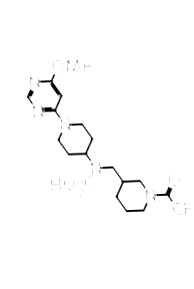 COc1cc(N2CCC(N(CC3CCCN(C(=O)C(F)(F)F)C3)C(=O)O)CC2)ncn1